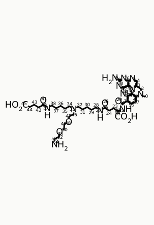 CN(Cc1cnc2nc(N)nc(N)c2n1)c1ccc(C(=O)N[C@@H](CCC(=O)NCCCCCN(CCCCCNC(=O)CCCC(=O)O)CCOCCOCCN)C(=O)O)cc1